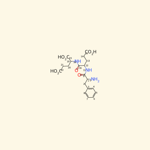 NC(Cc1ccccc1)C(=O)NC(CCC(=O)O)C(=O)NC(CCC(=O)O)C(=O)O